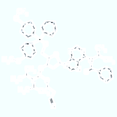 COc1ccc(C(OCC2OC(n3cnc4c(N(C(=O)c5ccccc5)C(C)C)ncnc43)CC2OP(OCCC#N)N(C(C)C)C(C)C)(c2ccccc2)c2ccc(OC)cc2)cc1